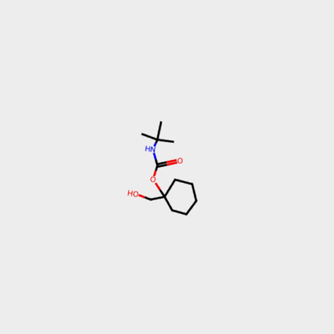 CC(C)(C)NC(=O)OC1(CO)CCCCC1